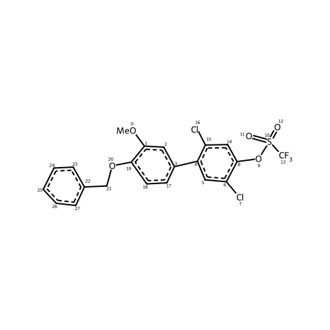 COc1cc(-c2cc(Cl)c(OS(=O)(=O)C(F)(F)F)cc2Cl)ccc1OCc1ccccc1